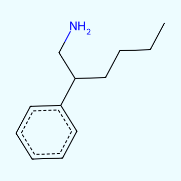 CCCCC(CN)c1ccccc1